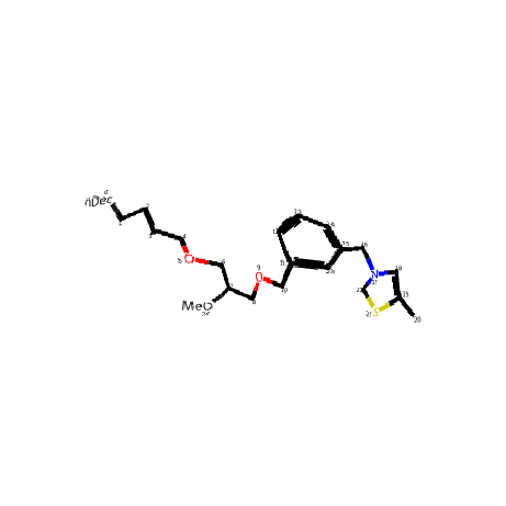 CCCCCCCCCCCCCCOCC(COCc1cccc(CN2C=C(C)SC2)c1)OC